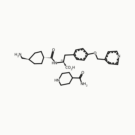 NC(=O)C1CCNCC1.NC[C@H]1CC[C@H](C(=O)N[C@@H](Cc2ccc(OCc3ccncc3)cc2)C(=O)O)CC1